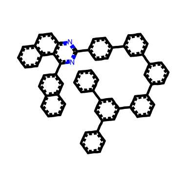 c1ccc(-c2cc(-c3ccccc3)cc(-c3cccc(-c4cccc(-c5cccc(-c6ccc(-c7nc(-c8ccc9ccccc9c8)c8c(ccc9ccccc98)n7)cc6)c5)c4)c3)c2)cc1